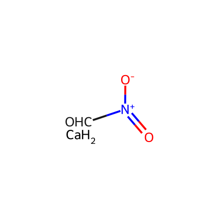 O=C[N+](=O)[O-].[CaH2]